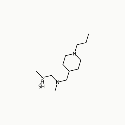 CCCN1CCC(CN(C)C[SH](C)S)CC1